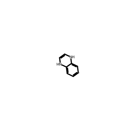 [c]1ccc2c(c1)NC=CN2